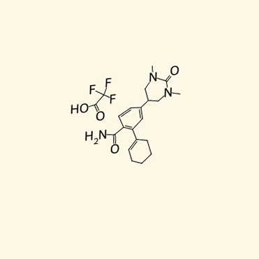 CN1CC(c2ccc(C(N)=O)c(C3=CCCCC3)c2)CN(C)C1=O.O=C(O)C(F)(F)F